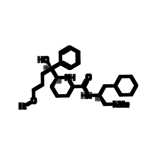 CCOCCC[C@@](O)(c1ccccc1)[C@@H]1CCCC(C(=O)N[C@H](CNC)CC2CCCCC2)N1